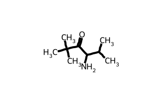 CC(C)C(N)C(=O)C(C)(C)C